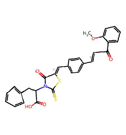 COc1ccccc1C(=O)/C=C/c1ccc(/C=C2\SC(=S)N(C(Cc3ccccc3)C(=O)O)C2=O)cc1